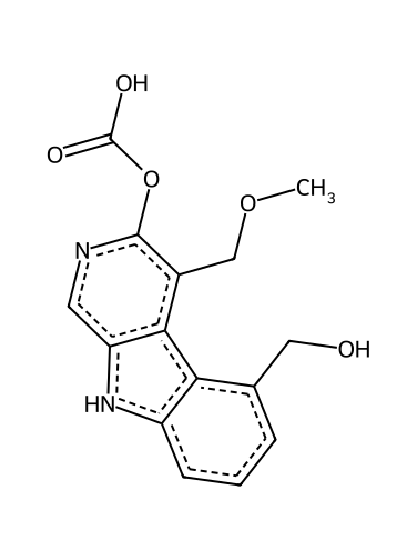 COCc1c(OC(=O)O)ncc2[nH]c3cccc(CO)c3c12